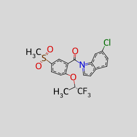 C[C@H](Oc1ccc(S(C)(=O)=O)cc1C(=O)n1ccc2ccc(Cl)cc21)C(F)(F)F